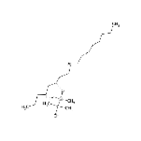 CCCCCCC[CH2][Al][CH2]CC(CCCCC)O[Si](C)(C)C(C)(C)C